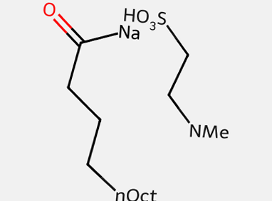 CCCCCCCCCCC[C](=O)[Na].CNCCS(=O)(=O)O